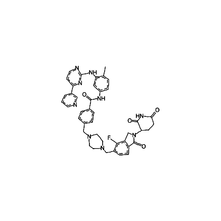 Cc1ccc(NC(=O)c2ccc(CN3CCN(Cc4ccc5c(c4F)CN(C4CCC(=O)NC4=O)C5=O)CC3)cc2)cc1Nc1nccc(-c2cccnc2)n1